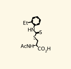 CCc1ccccc1NC(=S)SC[C@H](NC(C)=O)C(=O)O